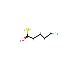 O=C(S)CCCCF